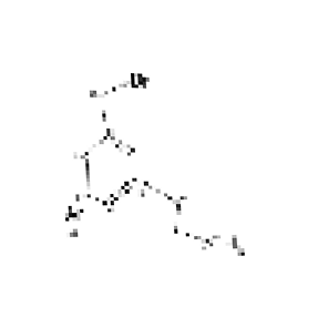 CCCc1cccc(CBr)c1.[Ar]